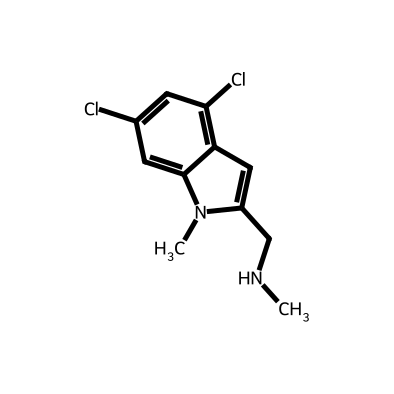 CNCc1cc2c(Cl)cc(Cl)cc2n1C